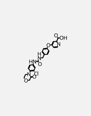 O=C(NCc1ccc(Oc2ccnc(C(=O)O)c2)cc1)Nc1ccc(N2CCOCC2=O)c(Cl)c1